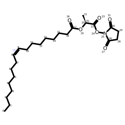 CCCCCCCC/C=C\CCCCCCCC(=O)O[C@@H](C)C(=O)ON1C(=O)CCC1=O